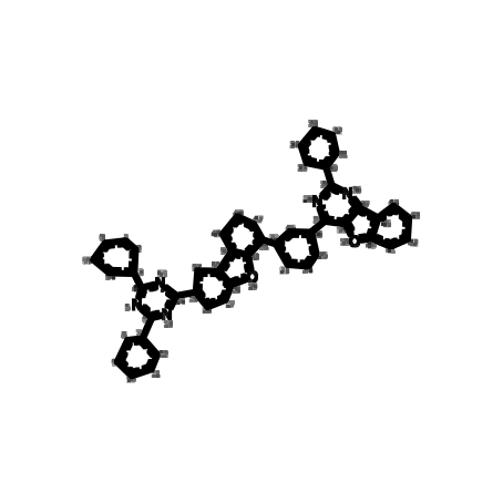 c1ccc(-c2nc(-c3ccccc3)nc(-c3ccc4oc5c(-c6cccc(-c7nc(-c8ccccc8)nc8c7oc7ccccc78)c6)cccc5c4c3)n2)cc1